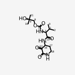 CC(C)C(NC(=O)OCC(C)(C)O)C(=O)NC1CCNC(=O)C1=O